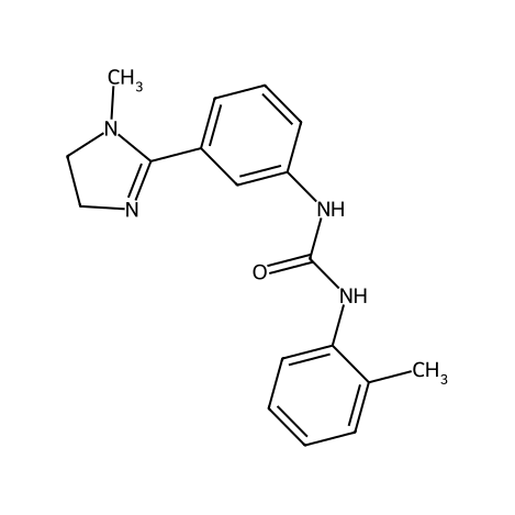 Cc1ccccc1NC(=O)Nc1cccc(C2=NCCN2C)c1